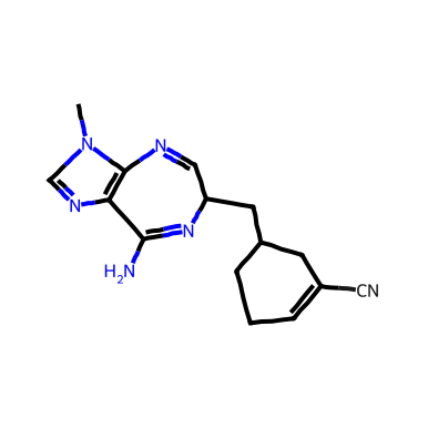 Cn1cnc2c1N=CC(CC1CCC=C(C#N)C1)N=C2N